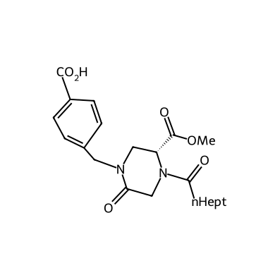 CCCCCCCC(=O)N1CC(=O)N(Cc2ccc(C(=O)O)cc2)C[C@@H]1C(=O)OC